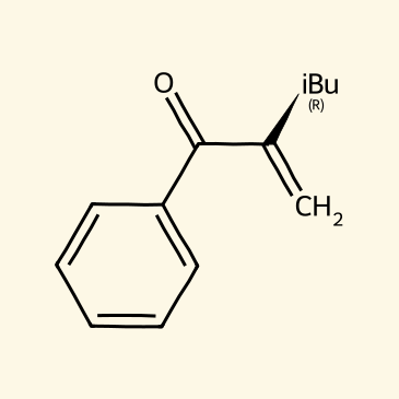 C=C(C(=O)c1ccccc1)[C@H](C)CC